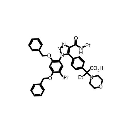 CCNC(=O)c1nnn(-c2cc(C(C)C)c(OCc3ccccc3)cc2OCc2ccccc2)c1-c1ccc(C(CC)(C(=O)O)N2CCOCC2)cc1